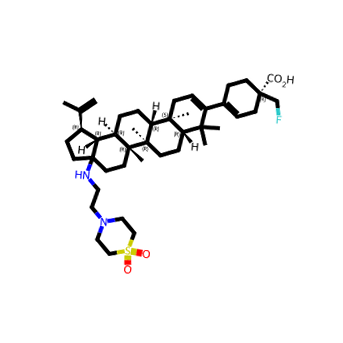 C=C(C)[C@@H]1CCC2(NCCN3CCS(=O)(=O)CC3)CC[C@]3(C)[C@H](CC[C@@H]4[C@@]5(C)CC=C(C6=CC[C@@](CF)(C(=O)O)CC6)C(C)(C)[C@@H]5CC[C@]43C)[C@@H]12